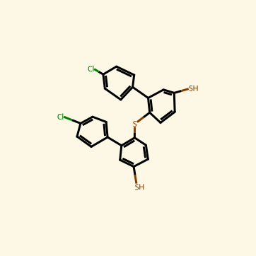 Sc1ccc(Sc2ccc(S)cc2-c2ccc(Cl)cc2)c(-c2ccc(Cl)cc2)c1